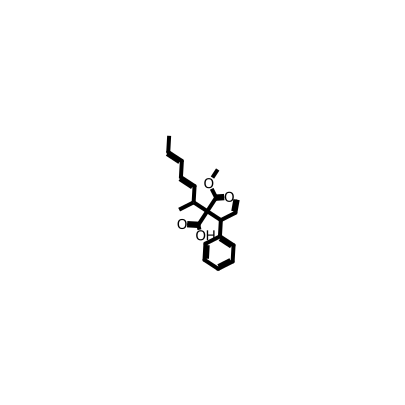 C=CC(c1ccccc1)C(C(=O)O)(C(=O)OC)C(C)C=CC=CC